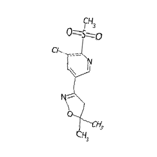 CC1(C)CC(c2cnc(S(C)(=O)=O)c(Cl)c2)=NO1